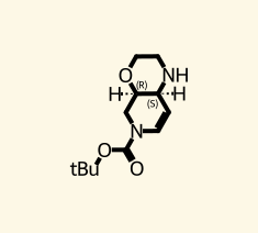 CC(C)(C)OC(=O)N1C=C[C@@H]2NCCO[C@@H]2C1